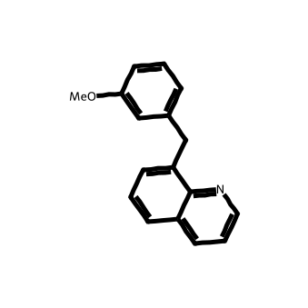 COc1cccc(Cc2cccc3cccnc23)c1